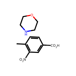 C1COCCN1.Cc1ccc(C(=O)O)cc1[N+](=O)[O-]